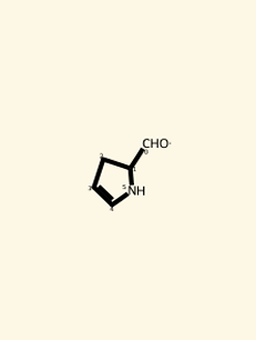 O=[C]C1CC=CN1